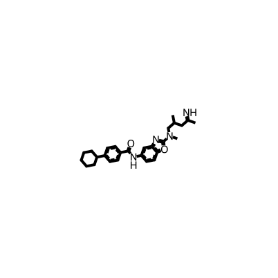 CC(=N)CC(C)CN(C)c1nc2cc(NC(=O)c3ccc(C4CCCCC4)cc3)ccc2o1